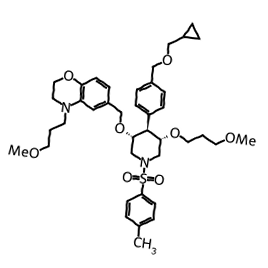 COCCCO[C@@H]1CN(S(=O)(=O)c2ccc(C)cc2)C[C@H](OCc2ccc3c(c2)N(CCCOC)CCO3)[C@H]1c1ccc(COCC2CC2)cc1